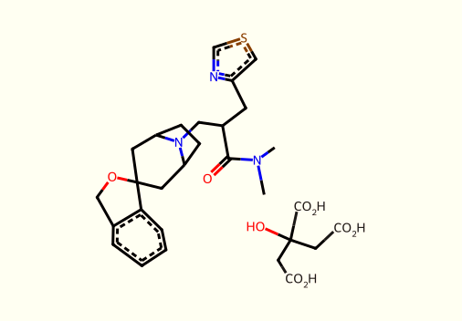 CN(C)C(=O)C(Cc1cscn1)CN1C2CCC1CC1(C2)OCc2ccccc21.O=C(O)CC(O)(CC(=O)O)C(=O)O